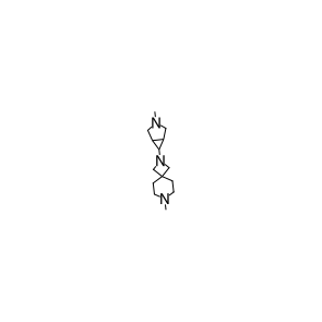 CN1CCC2(CC1)CN(C1C3CN(C)CC31)C2